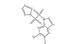 O=S(=O)(n1cccc1)S(=O)(=O)n1ccc2cc(F)c(Cl)cc21